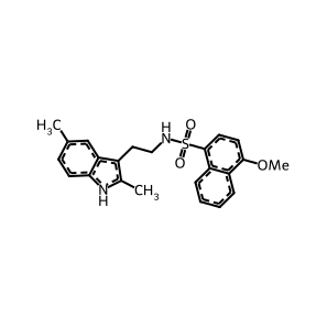 COc1ccc(S(=O)(=O)NCCc2c(C)[nH]c3ccc(C)cc23)c2ccccc12